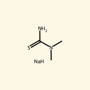 CN(C)C(N)=S.[NaH]